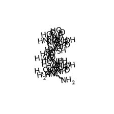 C[C@H](O)[C@@H](N)C(=O)N[C@H](CCCCN)C(=O)N[C@H](CCC(=O)O)C(=O)N[C@H](C)C(=O)N[C@H](CS)C(=O)N[C@H](C)C(=O)N[C@H](CCCNC(=N)N)C(=O)N[C@H](CS)C(=O)N[C@H](CCC(=O)O)C(=O)N[C@H](CCC(=O)O)C(=O)NCC(=O)O